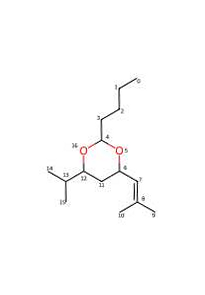 CCCCC1OC(C=C(C)C)CC(C(C)C)O1